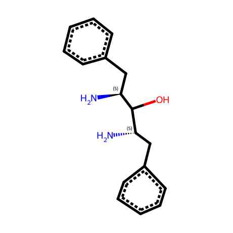 N[C@@H](Cc1ccccc1)C(O)[C@@H](N)Cc1ccccc1